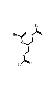 CCC(=O)OCC(COC(=O)CC)OC(=O)C(C)CC